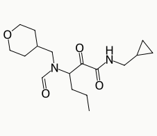 CCCC(C(=O)C(=O)NCC1CC1)N(C=O)CC1CCOCC1